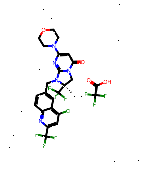 C[C@@]1(C(F)(F)F)Cn2c(nc(N3CCOCC3)cc2=O)N1Cc1ccc2nc(C(F)(F)F)cc(Cl)c2c1.O=C(O)C(F)(F)F